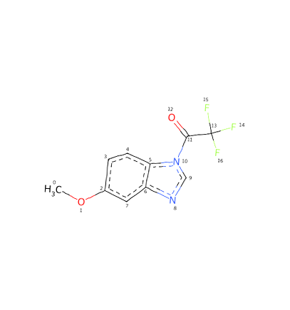 COc1ccc2c(c1)ncn2C(=O)C(F)(F)F